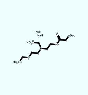 CCCCCCCCCCCC(=O)NCCN(CCOCC(=O)O)CC(=O)O.[NaH].[NaH]